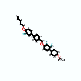 C=CCCCOc1ccc(-c2ccc(COc3ccc(C4CCC(OCCCC)CC4)c(F)c3F)cc2)cc1F